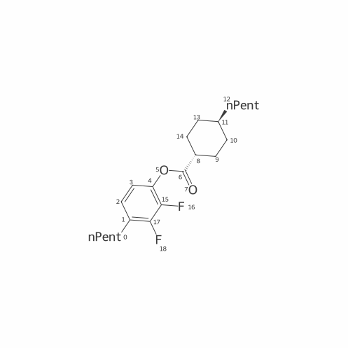 CCCCCc1ccc(OC(=O)[C@H]2CC[C@H](CCCCC)CC2)c(F)c1F